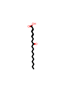 CCCCCCCCCCC(=O)CCC=C/C=C/C(=O)O